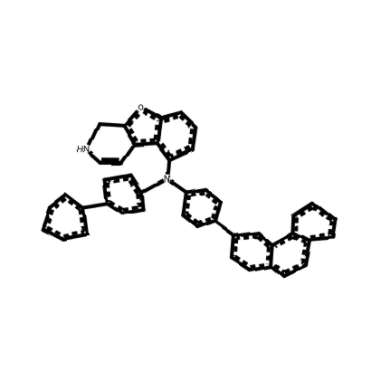 C1=Cc2c(oc3cccc(N(c4ccc(-c5ccccc5)cc4)c4ccc(-c5ccc6ccc7ccccc7c6c5)cc4)c23)CN1